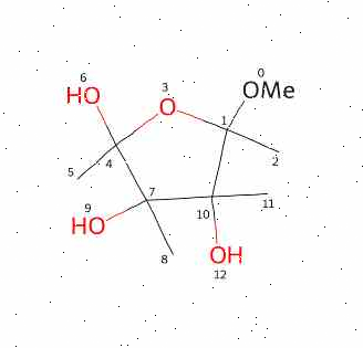 COC1(C)OC(C)(O)C(C)(O)C1(C)O